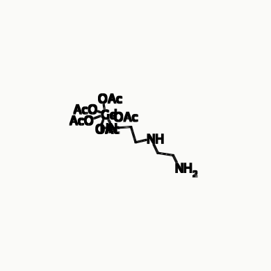 CC(=O)[O][Gd]([NH]CCNCCN)([O]C(C)=O)([O]C(C)=O)([O]C(C)=O)[O]C(C)=O